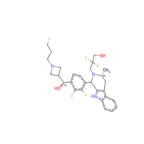 C[C@@H]1Cc2c([nH]c3ccccc23)C(c2ccc([C@@H](O)C3CN(CCCF)C3)c(F)c2F)N1CC(F)(F)CO